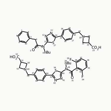 CCCCN(C(=O)Cc1ccccc1)c1nnc(-c2ccc(CN3CC(C(=O)O)C3)cc2)s1.CCCCN(C(=O)c1c(F)cccc1F)c1nnc(-c2ccc(CN3CC(C(=O)O)C3)cc2)s1